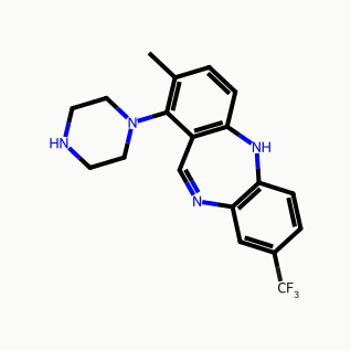 Cc1ccc2c(c1N1CCNCC1)C=Nc1cc(C(F)(F)F)ccc1N2